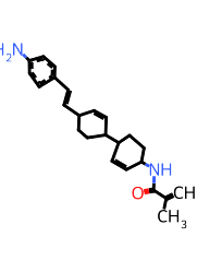 C=C(C)C(=O)NC1C=CC(C2C=CC(/C=C/c3ccc(N)cc3)CC2)CC1